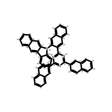 c1ccc2cc(-c3nc(-c4ccc5ccccc5c4)nc(-c4cc5ccccc5cc4-n4c5ccccc5c5cc6ccccc6cc54)n3)ccc2c1